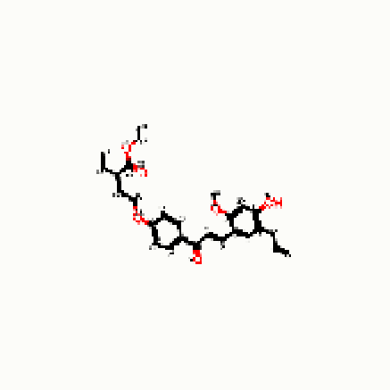 C=CCc1cc(C=CC(=O)c2ccc(OCCC(CC)C(=O)OCC)cc2)c(OC)cc1O